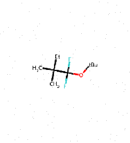 CCC(C)(C)C(F)(F)OC(C)(C)C